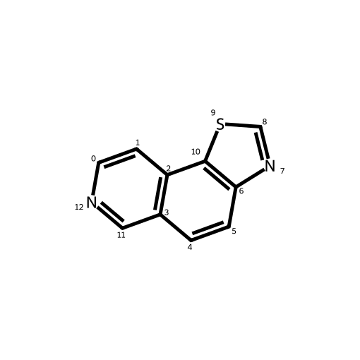 c1cc2c(ccc3ncsc32)cn1